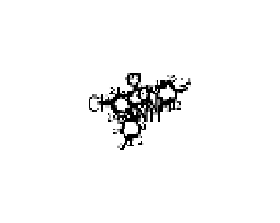 CC1=CCC(C)(NC2(NC3(C)C=CC(C)=CC3)OC(=O)c3cc(Cl)ccc32)C=C1